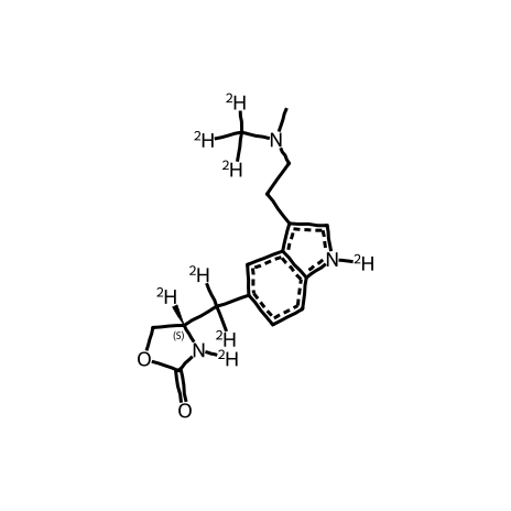 [2H]N1C(=O)OC[C@]1([2H])C([2H])([2H])c1ccc2c(c1)c(CCN(C)C([2H])([2H])[2H])cn2[2H]